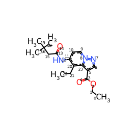 CCOC(=O)c1cnn2ccc(NC(=O)CC(C)(C)C)c(CC)c12